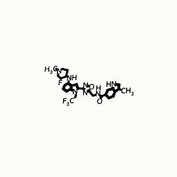 Cc1c[nH]c2cc(C(=O)NCc3nc(-c4cc5c(N[C@@H]6CCN(C)C[C@@H]6F)cccc5n4CC(F)(F)F)no3)ccc12